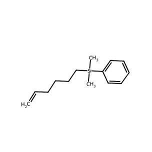 C=CCCCC[Si](C)(C)c1ccccc1